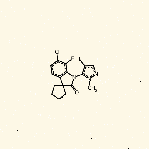 Cn1ncc(I)c1N1C(=O)C2(CCCC2)c2ccc(Cl)c(F)c21